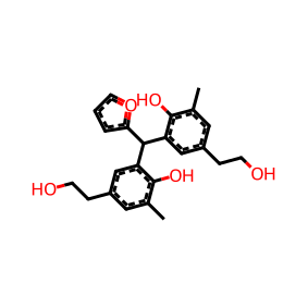 Cc1cc(CCO)cc(C(c2ccco2)c2cc(CCO)cc(C)c2O)c1O